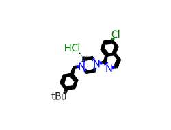 C[C@@H]1CN(c2nccc3cc(Cl)ccc23)CCN1Cc1ccc(C(C)(C)C)cc1.Cl